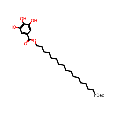 CCCCCCCCCCCCCCCCCCCCCCCCCCOC(=O)c1cc(O)c(O)c(O)c1